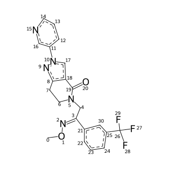 CON=C(CN1CCc2nn(-c3cccnc3)cc2C1=O)c1cccc(C(F)(F)F)c1